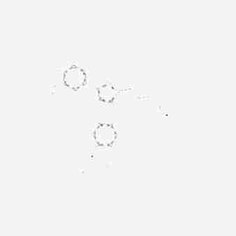 CC(C)(C)[Si](C)(C)OCCn1nc(-c2cccc(Br)c2)cc1Oc1ccc(C(F)(F)F)cc1